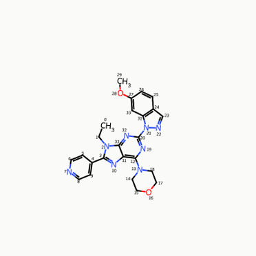 CCn1c(-c2ccncc2)nc2c(N3CCOCC3)nc(-n3ncc4ccc(OC)cc43)nc21